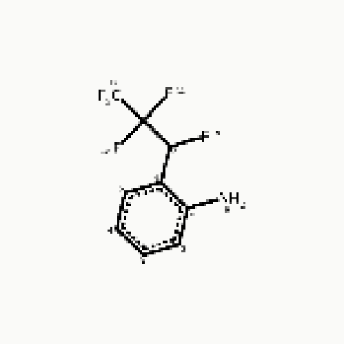 Nc1ccccc1C(F)C(F)(F)C(F)(F)F